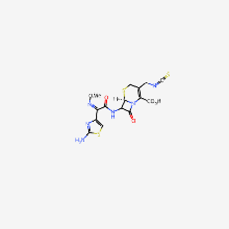 CO/N=C(\C(=O)NC1C(=O)N2C(C(=O)O)=C(CN=C=S)CS[C@H]12)c1csc(N)n1